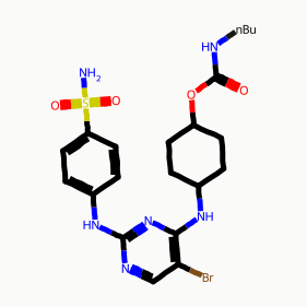 CCCCNC(=O)OC1CCC(Nc2nc(Nc3ccc(S(N)(=O)=O)cc3)ncc2Br)CC1